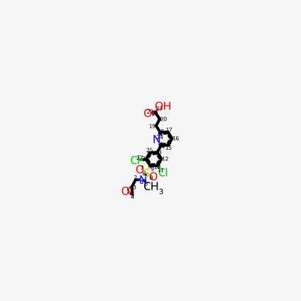 CN(CC1CO1)S(=O)(=O)c1c(Cl)cc(-c2cccc(CCC(=O)O)n2)cc1Cl